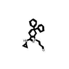 O=CC=Cn1nc(NC2CC2)c2c1CC(c1ccccc1)(c1ccccc1)C=C2